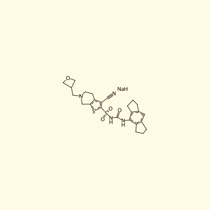 N#Cc1c(S(=O)(=O)NC(=O)Nc2c3c(cc4c2CCC4)CCC3)sc2c1CCN(CC1COC1)C2.[NaH]